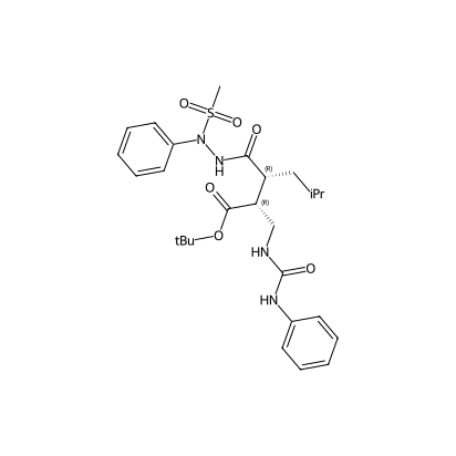 CC(C)C[C@@H](C(=O)NN(c1ccccc1)S(C)(=O)=O)[C@H](CNC(=O)Nc1ccccc1)C(=O)OC(C)(C)C